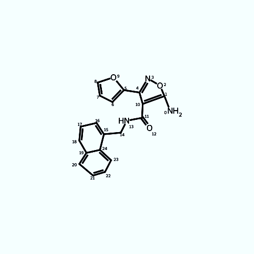 Nc1onc(-c2ccco2)c1C(=O)NCc1cccc2ccccc12